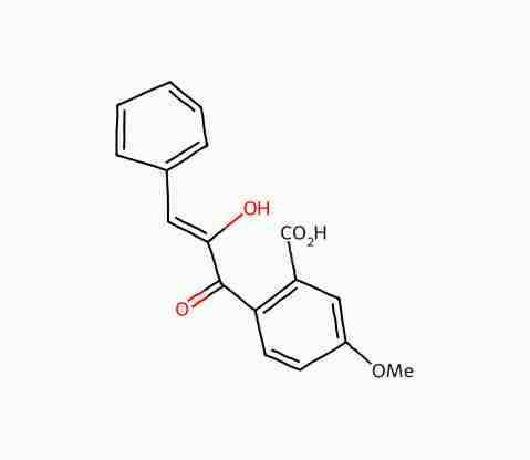 COc1ccc(C(=O)C(O)=Cc2ccccc2)c(C(=O)O)c1